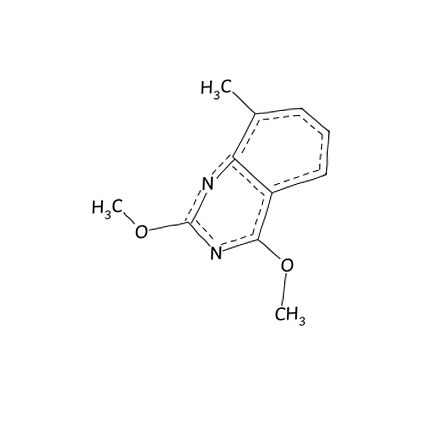 COc1nc(OC)c2cccc(C)c2n1